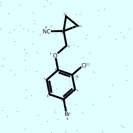 N#CC1(COc2ccc(Br)cc2Cl)CC1